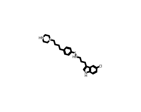 Clc1ccc2[nH]cc(CCCNSc3ccc(CCCCN4CCNCC4)cc3)c2c1